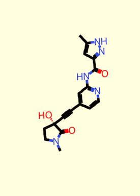 Cc1cc(C(=O)Nc2cc(C#C[C@]3(O)CCN(C)C3=O)ccn2)n[nH]1